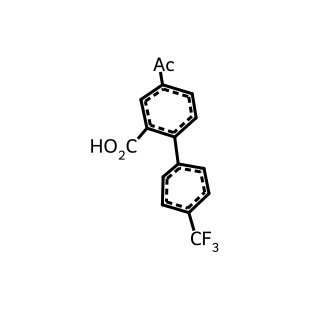 CC(=O)c1ccc(-c2ccc(C(F)(F)F)cc2)c(C(=O)O)c1